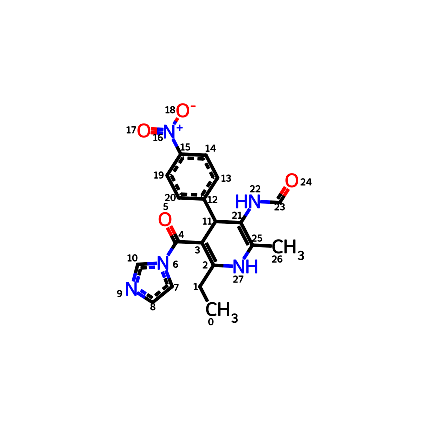 CCC1=C(C(=O)n2ccnc2)C(c2ccc([N+](=O)[O-])cc2)C(NC=O)=C(C)N1